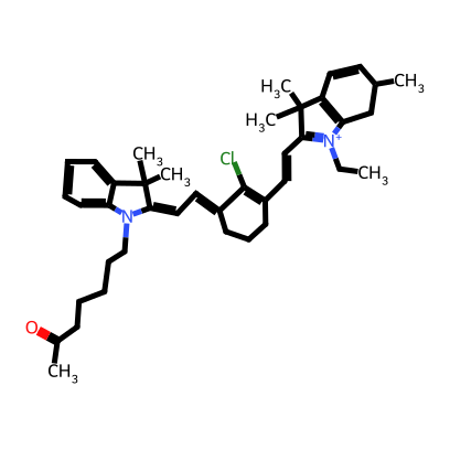 CC[N+]1=C(/C=C/C2=C(Cl)C(=C/C=C3/N(CCCCCC(C)=O)c4ccccc4C3(C)C)/CCC2)C(C)(C)C2=C1CC(C)C=C2